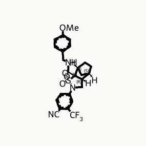 COc1ccc(CNC(=O)[C@@]23[C@@H]4CC[C@@H](C4)[C@@H]2CN(c2ccc(C#N)c(C(F)(F)F)c2)S3(=O)=O)cc1